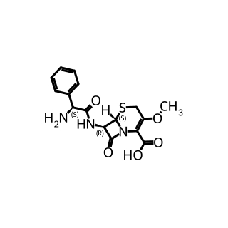 COC1=C(C(=O)O)N2C(=O)[C@@H](NC(=O)[C@@H](N)c3ccccc3)[C@@H]2SC1